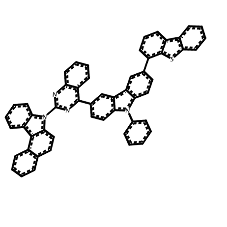 c1ccc(-n2c3ccc(-c4nc(-n5c6ccccc6c6c7ccccc7ccc65)nc5ccccc45)cc3c3cc(-c4cccc5c4sc4ccccc45)ccc32)cc1